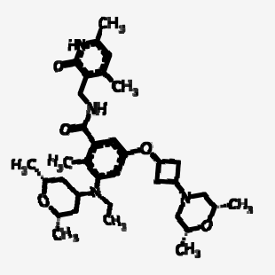 CCN(c1cc(OC2CC(N3C[C@@H](C)O[C@@H](C)C3)C2)cc(C(=O)NCc2c(C)cc(C)[nH]c2=O)c1C)C1C[C@@H](C)O[C@@H](C)C1